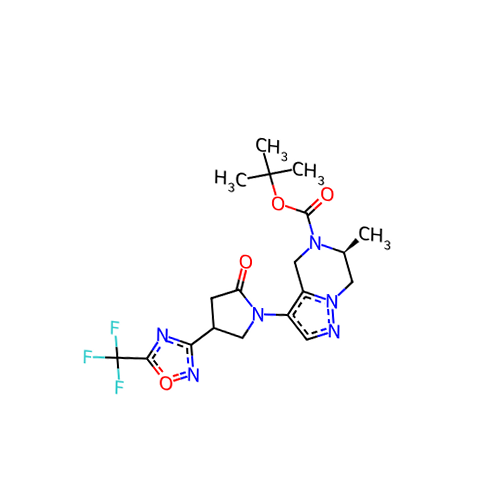 C[C@H]1Cn2ncc(N3CC(c4noc(C(F)(F)F)n4)CC3=O)c2CN1C(=O)OC(C)(C)C